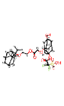 CC(C)C1(OCCOC(=O)COC23CC4CC(O)(C2)CC(OC(=O)C(F)(F)S(=O)(=O)O)(C4)C3)C2CC3CC(C2)CC1C3